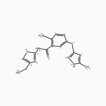 Cc1nc(Sc2ccc(N)c(C(=O)Nc3nc(CO)cs3)c2)n[nH]1